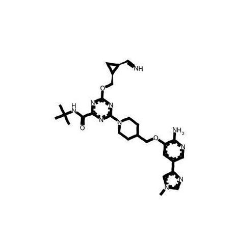 Cn1cnc(-c2cnc(N)c(OCC3CCN(c4nc(OC[C@H]5C[C@H]5C=N)nc(C(=O)NC(C)(C)C)n4)CC3)c2)c1